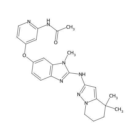 CC(=O)Nc1cc(Oc2ccc3nc(Nc4cc5n(n4)CCCC5(C)C)n(C)c3c2)ccn1